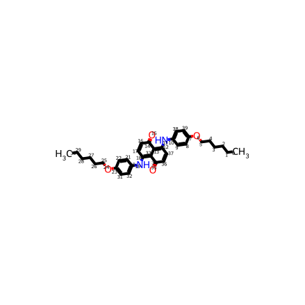 CCCCCCOc1ccc(NC2=C3C(=O)C=CC(Nc4ccc(OCCCCCC)cc4)=C3C(=O)C=C2)cc1